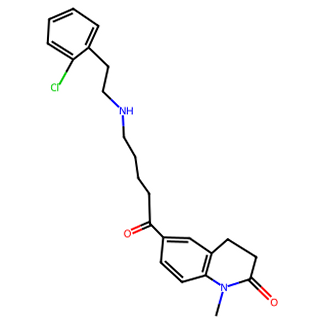 CN1C(=O)CCc2cc(C(=O)CCCCNCCc3ccccc3Cl)ccc21